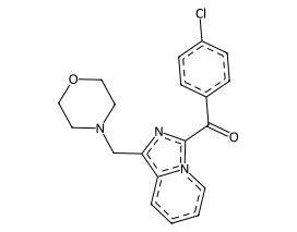 O=C(c1ccc(Cl)cc1)c1nc(CN2CCOCC2)c2ccccn12